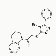 CCn1c(SCC(=O)N2CCCc3ccccc32)nnc1-c1ccccc1